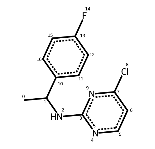 CC(Nc1nccc(Cl)n1)c1ccc(F)cc1